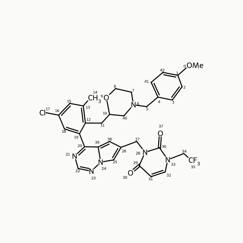 COc1ccc(CN2CCOC(Cc3c(C)cc(Cl)cc3-c3ncnn4cc(Cn5c(=O)ccn(CC(F)(F)F)c5=O)cc34)C2)cc1